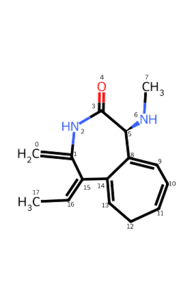 C=C1NC(=O)[C@@H](NC)C2=CC=CCC=C2/C1=C/C